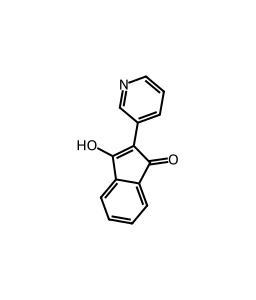 O=C1C(c2cccnc2)=C(O)c2ccccc21